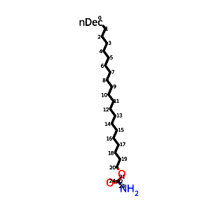 CCCCCCCCCCCCCCCCCCCCCCCCCCCCCCOC(N)=O